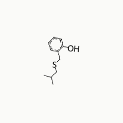 CC(C)CSCc1ccccc1O